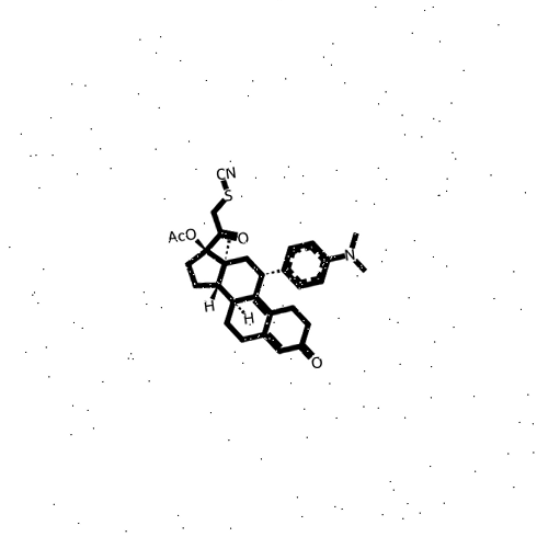 CC(=O)O[C@]1(C(=O)CSC#N)CC[C@H]2[C@@H]3CCC4=CC(=O)CCC4=C3[C@@H](c3ccc(N(C)C)cc3)C[C@@]21C